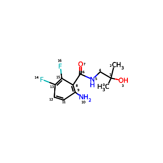 CC(C)(O)CNC(=O)c1c(N)ccc(F)c1F